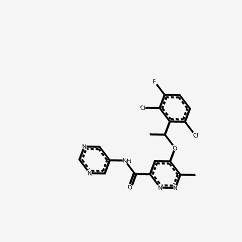 Cc1nnc(C(=O)Nc2cncnc2)cc1OC(C)c1c(Cl)ccc(F)c1Cl